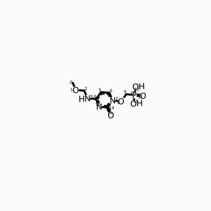 COCNc1ccn(OCP(=O)(O)O)c(=O)n1